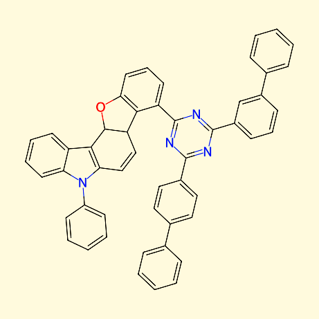 C1=CC2c3c(cccc3-c3nc(-c4ccc(-c5ccccc5)cc4)nc(-c4cccc(-c5ccccc5)c4)n3)OC2c2c1n(-c1ccccc1)c1ccccc21